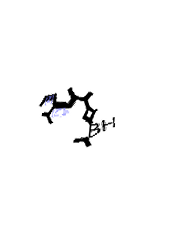 C=C(/C=C(\C=C/C)C(C)C)C(C)C1CC(BC(C)C)C1